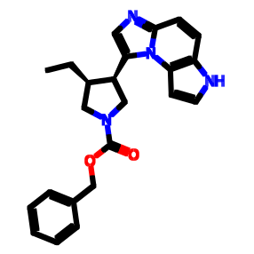 CC[C@@H]1CN(C(=O)OCc2ccccc2)C[C@@H]1c1cnc2ccc3[nH]ccc3n12